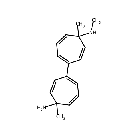 CNC1(C)C=CC=C(C2=CC=CC(C)(N)C=C2)C=C1